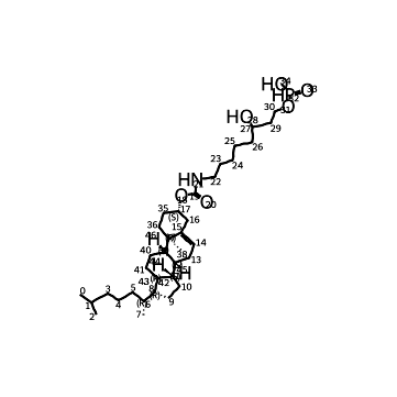 CC(C)CCC[C@@H](C)[C@H]1CC[C@H]2[C@@H]3CC=C4C[C@@H](OC(=O)NCCCCCC(O)CCO[PH](=O)O)CC[C@]4(C)[C@H]3CC[C@]12C